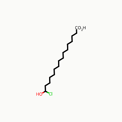 O=C(O)CCCCCCCCCCCCCCC(O)Cl